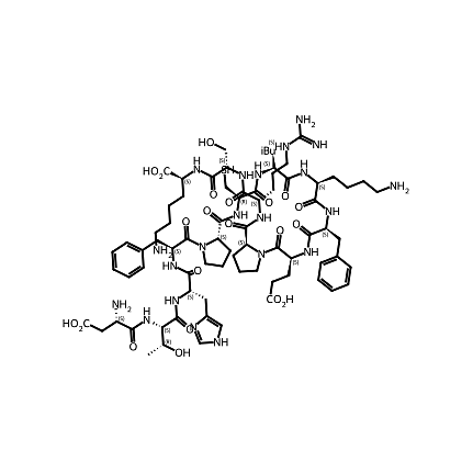 CC[C@H](C)[C@H](NC(=O)[C@H](CS)NC(=O)[C@@H]1CCCN1C(=O)[C@H](Cc1ccccc1)NC(=O)[C@H](Cc1c[nH]cn1)NC(=O)[C@@H](NC(=O)[C@@H](N)CC(=O)O)[C@@H](C)O)C(=O)N[C@@H](CCCCN)C(=O)N[C@@H](Cc1ccccc1)C(=O)N[C@@H](CCC(=O)O)C(=O)N1CCC[C@H]1C(=O)N[C@@H](CCCNC(=N)N)C(=O)N[C@@H](CO)C(=O)N[C@@H](CCCCN)C(=O)O